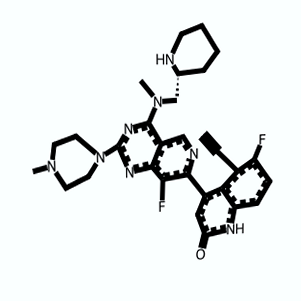 C#Cc1c(F)ccc2[nH]c(=O)cc(-c3ncc4c(N(C)C[C@H]5CCCCN5)nc(N5CCN(C)CC5)nc4c3F)c12